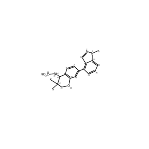 Cn1ncc2c(-c3ccc4c(c3)OCC(C)(C)C4NC(=O)O)cccc21